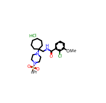 CCCS(=O)(=O)N1CCN(C2(CNC(=O)c3cccc(OC)c3Cl)CCCCCC2)CC1.Cl